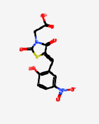 O=C(O)CN1C(=O)SC(=Cc2cc([N+](=O)[O-])ccc2O)C1=O